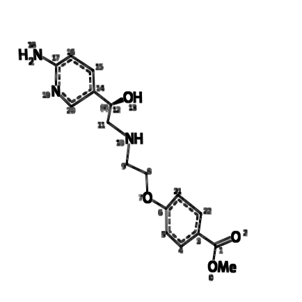 COC(=O)c1ccc(OCCNC[C@H](O)c2ccc(N)nc2)cc1